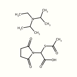 CC(=O)SC(C(=O)O)N1C(=O)CCC1=O.CCN(C(C)C)C(C)C